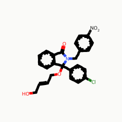 O=C1c2ccccc2C(OC/C=C/CO)(c2ccc(Cl)cc2)N1Cc1ccc([N+](=O)[O-])cc1